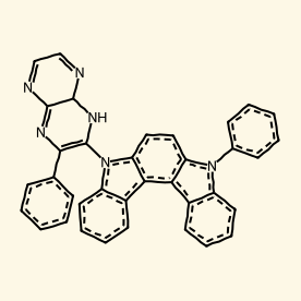 C1=NC2=NC(c3ccccc3)=C(n3c4ccccc4c4c5c6ccccc6n(-c6ccccc6)c5ccc43)NC2N=C1